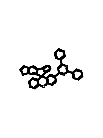 c1ccc(-c2cc(-c3ccc4c(c3)C3(c5ccccc5O4)c4ccccc4-c4cc5ccoc5cc43)nc(-c3ccccc3)n2)cc1